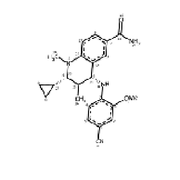 COc1cc(C#N)ccc1N[C@H]1c2cc(C(N)=O)ccc2N(C)[C@@H](C2CC2)C1C